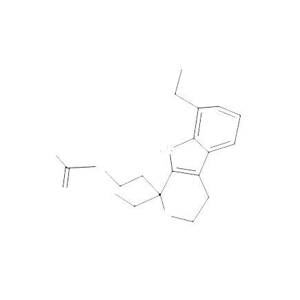 CCc1cccc2c3c([nH]c12)C(CC)(CCOC(C)=O)OCC3